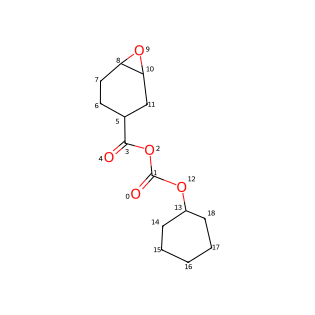 O=C(OC(=O)C1CCC2OC2C1)OC1CCCCC1